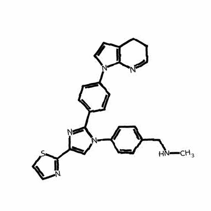 CNCc1ccc(-n2cc(-c3nccs3)nc2-c2ccc(-n3ccc4c3N=CCC4)cc2)cc1